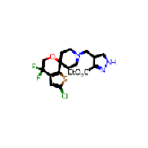 CCOC(=O)C1=NNCC1CN1CCC2(CC1)OCC(F)(F)c1cc(Cl)sc12